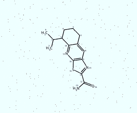 CC(C)C1CCCc2cc3nc(C(N)=O)sc3nc21